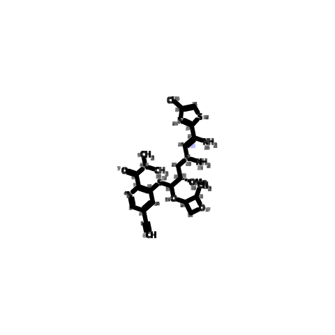 C#Cc1cnc(C(=O)N(C)C)c(SC(OC2COC2C)[C@H](CN(N)/C=C(\N)c2nc(Cl)cs2)OC)c1